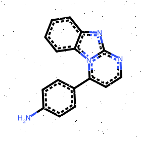 Nc1ccc(-c2ccnc3nc4ccccc4n23)cc1